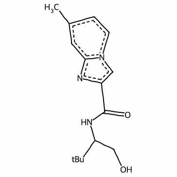 Cc1ccn2cc(C(=O)NC(CO)C(C)(C)C)nc2c1